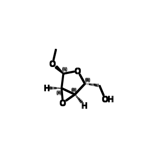 CO[C@H]1O[C@H](CO)[C@H]2O[C@@H]12